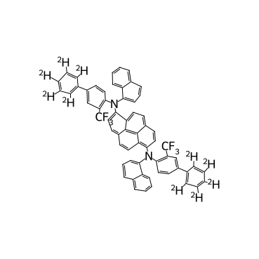 [2H]c1c([2H])c([2H])c(-c2ccc(N(c3cccc4ccccc34)c3ccc4ccc5c(N(c6ccc(-c7c([2H])c([2H])c([2H])c([2H])c7[2H])cc6C(F)(F)F)c6cccc7ccccc67)ccc6ccc3c4c65)c(C(F)(F)F)c2)c([2H])c1[2H]